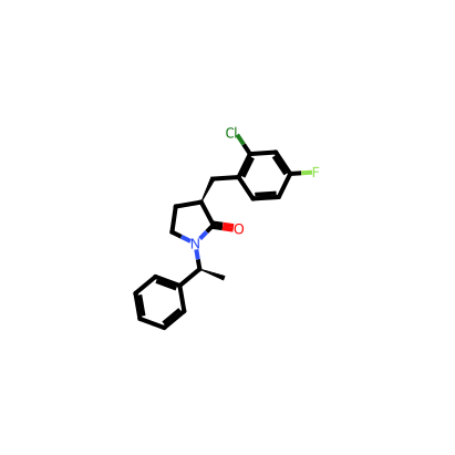 C[C@@H](c1ccccc1)N1CC[C@@H](Cc2ccc(F)cc2Cl)C1=O